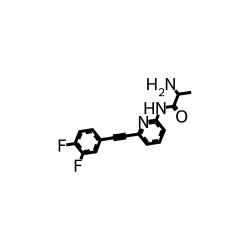 CC(N)C(=O)Nc1cccc(C#Cc2ccc(F)c(F)c2)n1